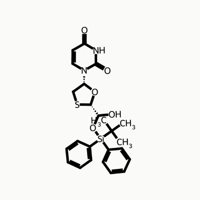 CC(C)(C)[Si](OC(O)[C@H]1O[C@@H](n2ccc(=O)[nH]c2=O)CS1)(c1ccccc1)c1ccccc1